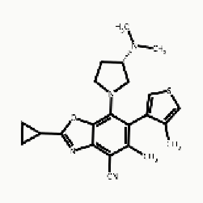 Cc1cscc1-c1c(C)c(C#N)c2nc(C3CC3)oc2c1N1CC[C@H](N(C)C)C1